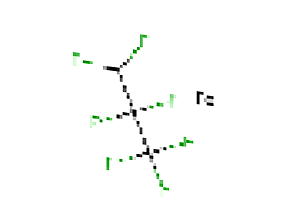 FC(F)C(F)(F)C(F)(F)F.[Fe]